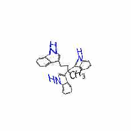 CC(CCc1c[nH]c2ccccc12)(c1c[nH]c2ccccc12)c1c[nH]c2ccccc12